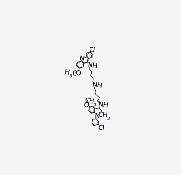 CCC(NCCCCCNCCCCCNc1c2ccc(Cl)cc2nc2ccc(OC)cc12)c1cc(OC)ccc1/N=C1/C=C(Cl)C=CC1